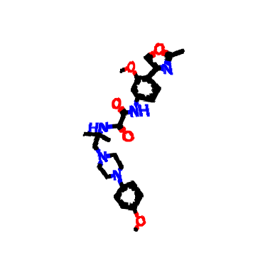 COc1ccc(N2CCN(CC(C)(C)NC(=O)C(=O)Nc3ccc(-c4coc(C)n4)c(OC)c3)CC2)cc1